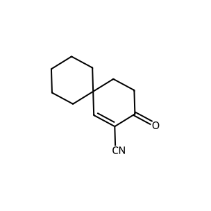 N#CC1=CC2(CCCCC2)CCC1=O